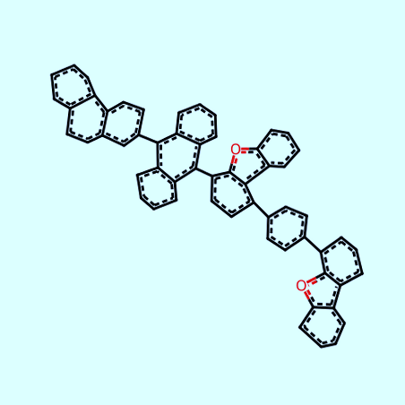 c1ccc2c(c1)ccc1cc(-c3c4ccccc4c(-c4ccc(-c5ccc(-c6cccc7c6oc6ccccc67)cc5)c5c4oc4ccccc45)c4ccccc34)ccc12